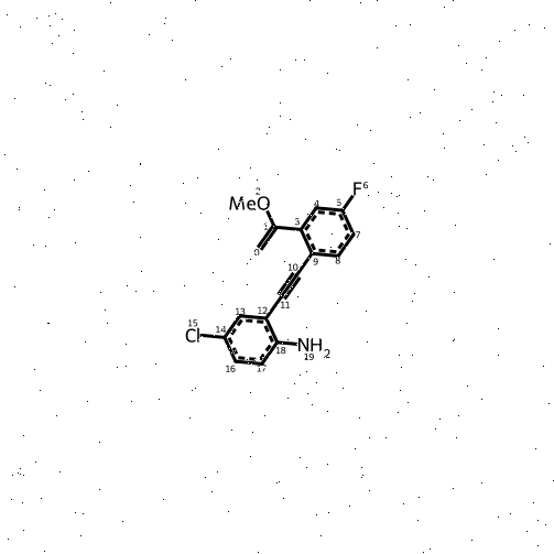 C=C(OC)c1cc(F)ccc1C#Cc1cc(Cl)ccc1N